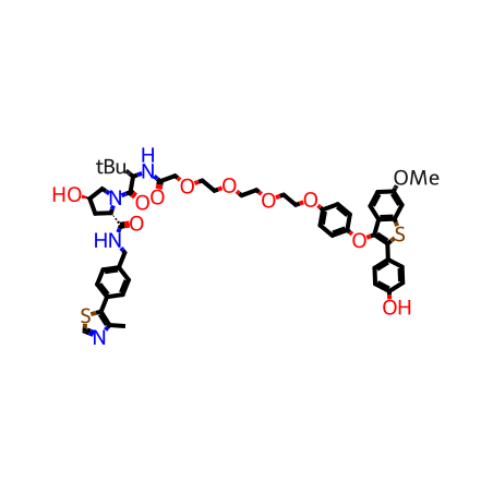 COc1ccc2c(Oc3ccc(OCCOCCOCCOCC(=O)NC(C(=O)N4C[C@H](O)C[C@H]4C(=O)NCc4ccc(-c5scnc5C)cc4)C(C)(C)C)cc3)c(-c3ccc(O)cc3)sc2c1